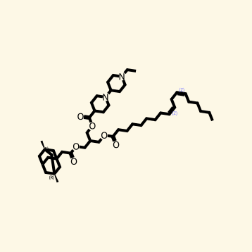 CCCCC/C=C\C/C=C\CCCCCCCC(=O)OCC(COC(=O)CC12CC3C[C@@](C)(C1)C[C@](C)(C3)C2)COC(=O)C1CCN(C2CCN(CC)CC2)CC1